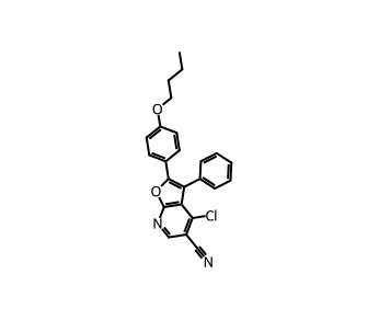 CCCCOc1ccc(-c2oc3ncc(C#N)c(Cl)c3c2-c2ccccc2)cc1